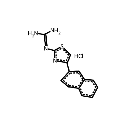 Cl.NC(N)=Nc1nc(-c2ccc3ccccc3c2)cs1